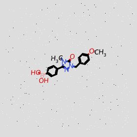 COc1ccc(Cn2nc(-c3ccc(B(O)O)cc3)n(C)c2=O)cc1